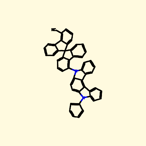 N#Cc1cccc2c1-c1ccccc1C21c2ccccc2-c2c(-n3c4ccccc4c4c5c6ccccc6n(-c6ccccc6)c5ccc43)cccc21